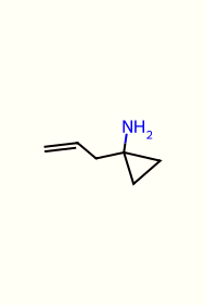 C=CCC1(N)CC1